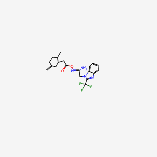 C=C1CCC(C)C(CC(=O)O/N=C(\N)Cn2c(C(F)(F)F)nc3ccccc32)C1